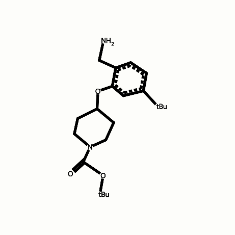 CC(C)(C)OC(=O)N1CCC(Oc2cc(C(C)(C)C)ccc2CN)CC1